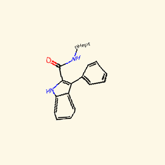 CCCCCCCNC(=O)c1[nH]c2ccccc2c1-c1ccccc1